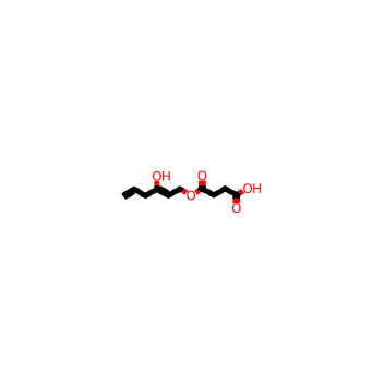 C=CCC(O)=CCOC(=O)CCC(=O)O